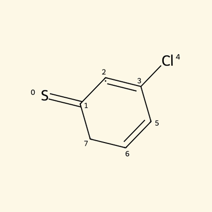 S=C1[C]=C(Cl)C=CC1